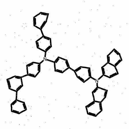 c1ccc(-c2ccc(N(c3ccc(-c4ccc(N(c5ccc6ccccc6c5)c5ccc6ccccc6c5)cc4)cc3)c3ccc(-c4cccc(-c5ccccc5)c4)cc3)cc2)cc1